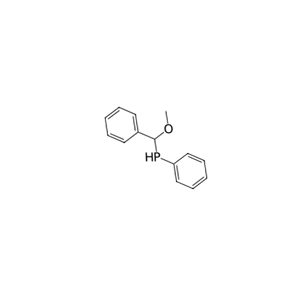 COC(Pc1ccccc1)c1ccccc1